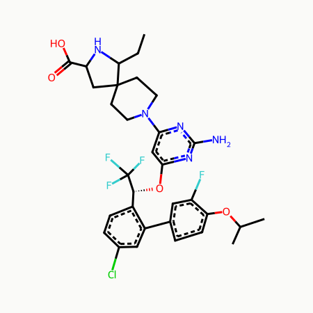 CCC1NC(C(=O)O)CC12CCN(c1cc(O[C@H](c3ccc(Cl)cc3-c3ccc(OC(C)C)c(F)c3)C(F)(F)F)nc(N)n1)CC2